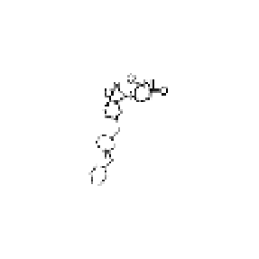 O=c1ccn(-c2noc3ccc(CC4CCCN(CC5CCCCC5)C4)cc23)c(=O)[nH]1